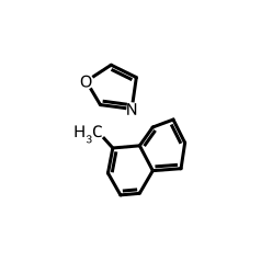 Cc1cccc2ccccc12.c1cocn1